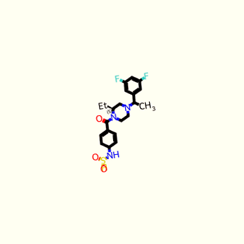 CC[C@H]1CN(C(C)c2cc(F)cc(F)c2)CCN1C(=O)C1=CCC(N[SH](=O)=O)C=C1